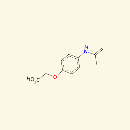 C=C(C)Nc1ccc(OCC(=O)O)cc1